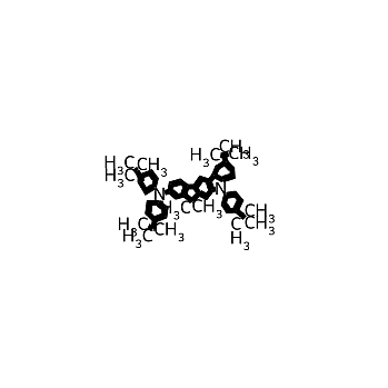 CC(C)(C)C1=CC=C2C(C1)c1cc3c(cc1N2c1ccc(C(C)(C)C)cc1)C(C)(C)c1cc(N(c2ccc(C(C)(C)C)cc2)c2ccc(C(C)(C)C)cc2)ccc1-3